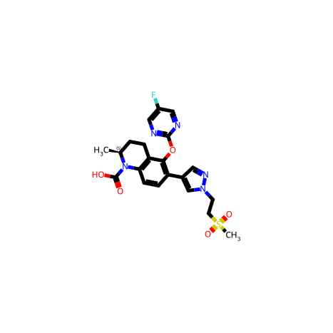 C[C@H]1CCc2c(ccc(-c3cnn(CCS(C)(=O)=O)c3)c2Oc2ncc(F)cn2)N1C(=O)O